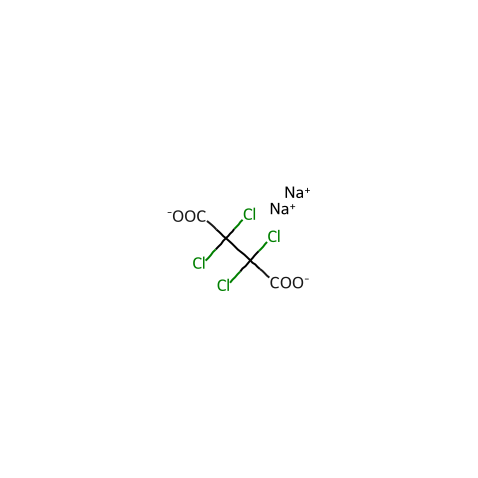 O=C([O-])C(Cl)(Cl)C(Cl)(Cl)C(=O)[O-].[Na+].[Na+]